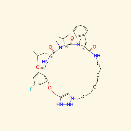 CC(C)C[C@H]1NC(=O)c2ccc(F)cc2OCC2=CN(CCCCCCCCNC(=O)[C@H](Cc3ccccc3)N(C)C(=O)[C@@H](C(C)C)N(C)C1=O)NN2